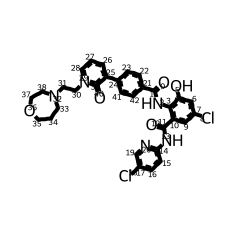 O=C(Nc1c(O)cc(Cl)cc1C(=O)Nc1ccc(Cl)cn1)c1ccc(-c2cccn(CCN3CCCOCC3)c2=O)cc1